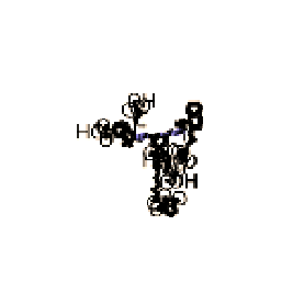 CC1(C)C(/C=C/C2=CC(=C/C=C3/N(CCCS(=O)(=O)O)c4ccc5ccccc5c4C3(C)C)/CC(C(=O)NCCCCCC(=O)ON3C(=O)CCC3=O)(C(=O)NCCS(=O)(=O)O)C2)=[N+](CCCS(=O)(=O)O)c2ccc(S(=O)(=O)O)cc21